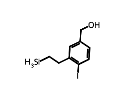 OCc1ccc(I)c(CC[SiH3])c1